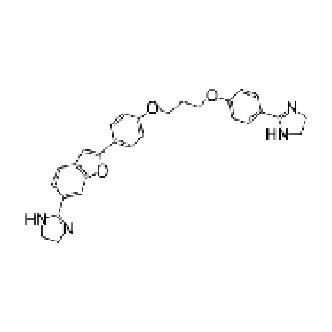 c1cc(C2=NCCN2)ccc1OCCCOc1ccc(-c2cc3ccc(C4=NCCN4)cc3o2)cc1